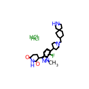 Cl.Cl.Cn1nc(C2CCC(=O)NC2=O)c2ccc(C3CCN(CC4CCC5(CCNCC5)CC4)CC3)c(F)c21